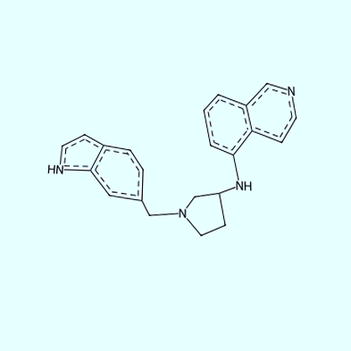 c1cc(NC2CCN(Cc3ccc4cc[nH]c4c3)C2)c2ccncc2c1